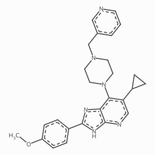 COc1ccc(-c2nc3c(N4CCN(Cc5cccnc5)CC4)c(C4CC4)cnc3[nH]2)cc1